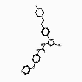 CN1CCN(CCc2ccc(-n3nc(C(C)(C)C)cc3NC(=O)Nc3ccc(Oc4ccncc4)cc3)cc2)CC1